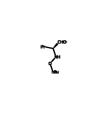 CCCCON[C@H]([C]=O)C(C)C